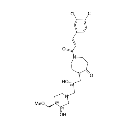 COC[C@H]1CCN(C[C@H](O)CN2CCN(C(=O)C=Cc3ccc(Cl)c(Cl)c3)CCC2=O)C[C@H]1O